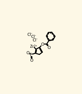 O=C(OC1=CCC(P(=O)=O)=[C]1[Zr+3])c1ccccc1.[Cl-].[Cl-].[Cl-]